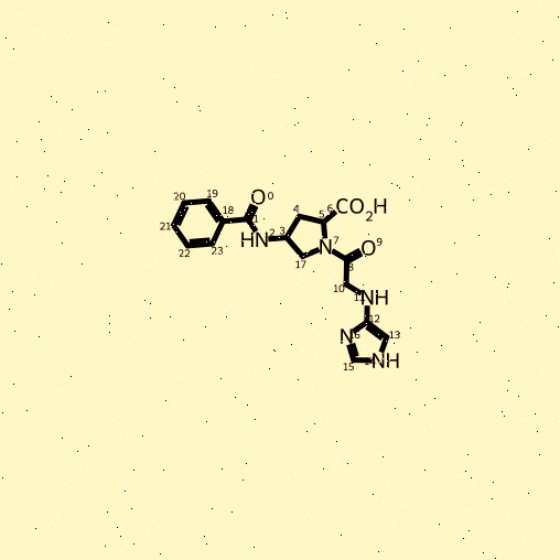 O=C(NC1CC(C(=O)O)N(C(=O)CNc2c[nH]cn2)C1)c1ccccc1